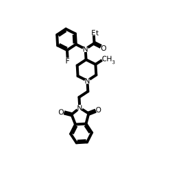 CCC(=O)N(c1ccccc1F)C1CCN(CCN2C(=O)c3ccccc3C2=O)CC1C